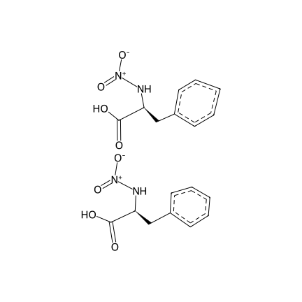 O=C(O)[C@H](Cc1ccccc1)N[N+](=O)[O-].O=C(O)[C@H](Cc1ccccc1)N[N+](=O)[O-]